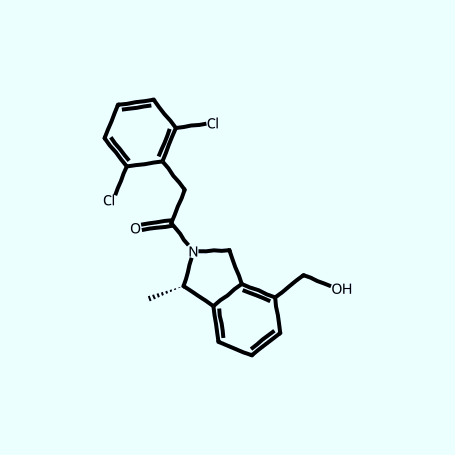 C[C@H]1c2cccc(CO)c2CN1C(=O)Cc1c(Cl)cccc1Cl